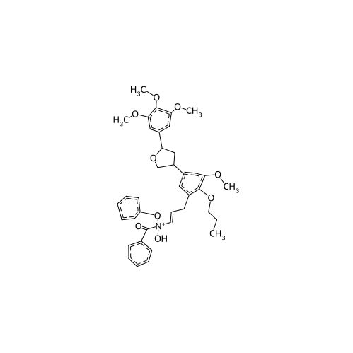 CCCOc1c(C/C=C/[N+](O)(Oc2ccccc2)C(=O)c2ccccc2)cc(C2COC(c3cc(OC)c(OC)c(OC)c3)C2)cc1OC